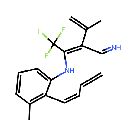 C=C/C=C\c1c(C)cccc1N/C(=C(\C=N)C(=C)C)C(F)(F)F